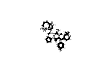 CN(C(=O)O)[C@H](C(=O)N[C@H]1CCC[C@@H]1CC[C@H]1CN[C@@H]2CCCS(=O)(=O)N1C2)[C@@H](c1ccc(F)cc1)C1CCOC(C)(C)C1